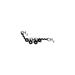 CCCCCCc1ccc(-c2cccc(Sc3cccc(-c4ccc(CCCCCC)cc4)c3C)c2C)cc1